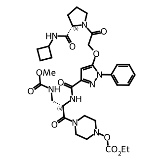 CCOC(=O)ON1CCN(C(=O)[C@H](CNC(=O)OC)NC(=O)c2cc(OCC(=O)N3CCC[C@H]3C(=O)NC3CCC3)n(-c3ccccc3)n2)CC1